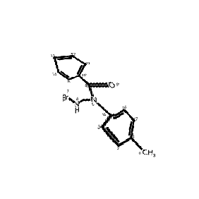 Cc1ccc(N(NBr)C(=O)c2ccccc2)cc1